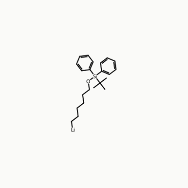 [Li][CH2]CCCCCO[Si](c1ccccc1)(c1ccccc1)C(C)(C)C